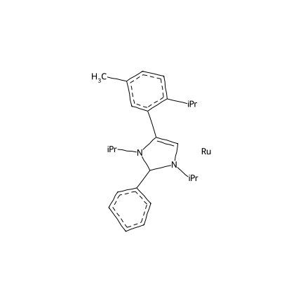 Cc1ccc(C(C)C)c(C2=CN(C(C)C)C(c3ccccc3)N2C(C)C)c1.[Ru]